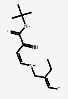 CC/C(=C\F)CN/C=C\C(=N)C(=O)NC(C)(C)C